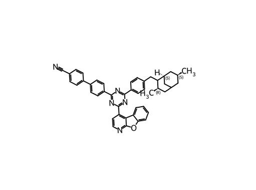 C[C@H]1CC2C[C@H](C1)C(Cc1ccc(-c3nc(-c4ccc(-c5ccc(C#N)cc5)cc4)nc(-c4ccnc5oc6ccccc6c45)n3)cc1)[C@H](C)C2